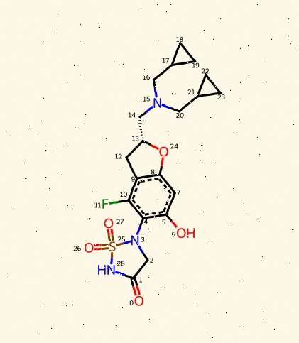 O=C1CN(c2c(O)cc3c(c2F)C[C@H](CN(CC2CC2)CC2CC2)O3)S(=O)(=O)N1